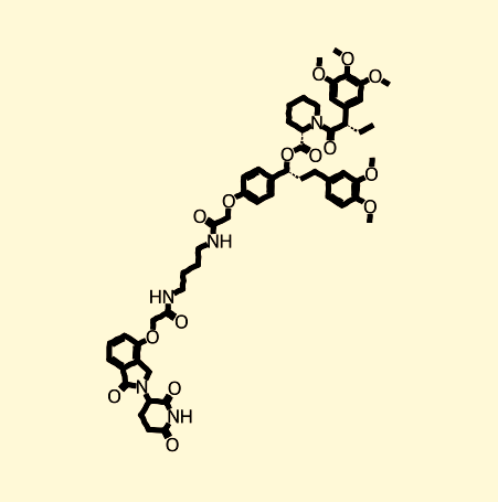 CC[C@H](C(=O)N1CCCC[C@H]1C(=O)O[C@H](CCc1ccc(OC)c(OC)c1)c1ccc(OCC(=O)NCCCCNC(=O)COc2cccc3c2CN(C2CCC(=O)NC2=O)C3=O)cc1)c1cc(OC)c(OC)c(OC)c1